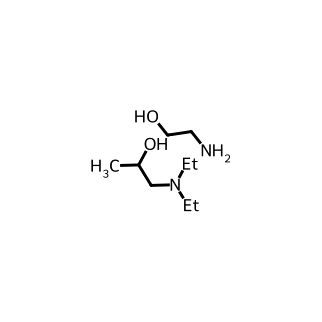 CCN(CC)CC(C)O.NCCO